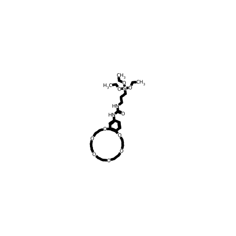 CCO[Si](CCCNC(=O)Nc1ccc2c(c1)OCCOCCOCCOCCOCCO2)(OCC)OCC